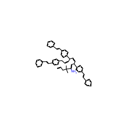 C=CCC(C)(C)/C(N)=C/C(/C=C\C(/C=C\Cc1ccc(/C=C/c2ccccc2)cc1)c1ccc(/C=C/c2ccccc2)cc1)c1ccc(/C=C/c2ccccc2)cc1